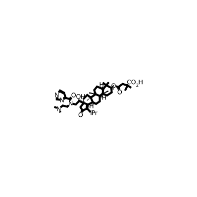 CC(C)C1=C2[C@H]3CC[C@@H]4[C@@]5(C)CC[C@H](OC(=O)CC(C)(C)C(=O)O)C(C)(C)[C@@H]5CC[C@@]4(C)[C@]3(C)CC[C@@]2([C@@H](O)CN(CCN(C)C)C(=O)c2ccncn2)CC1=O